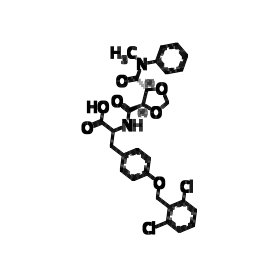 CN(C(=O)[C@@H]1OCO[C@H]1C(=O)NC(Cc1ccc(OCc2c(Cl)cccc2Cl)cc1)C(=O)O)c1ccccc1